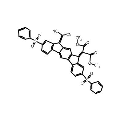 N#CC(C#N)=C1c2cc(S(=O)(=O)c3ccccc3)ccc2-c2cc3c(cc21)C(=C(C(=O)OC(F)(F)F)C(=O)OC(F)(F)F)c1cc(S(=O)(=O)c2ccccc2)ccc1-3